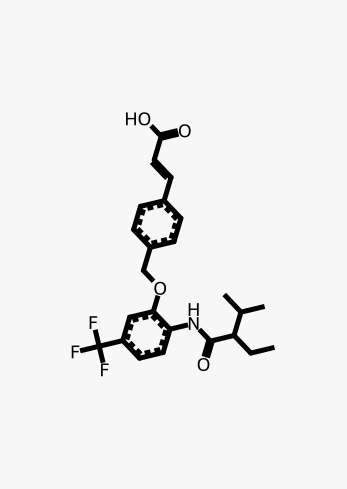 CCC(C(=O)Nc1ccc(C(F)(F)F)cc1OCc1ccc(/C=C/C(=O)O)cc1)C(C)C